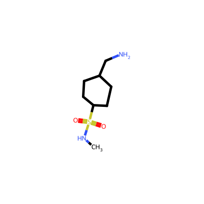 CNS(=O)(=O)C1CCC(CN)CC1